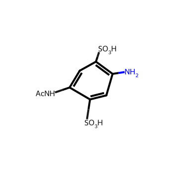 CC(=O)Nc1cc(S(=O)(=O)O)c(N)cc1S(=O)(=O)O